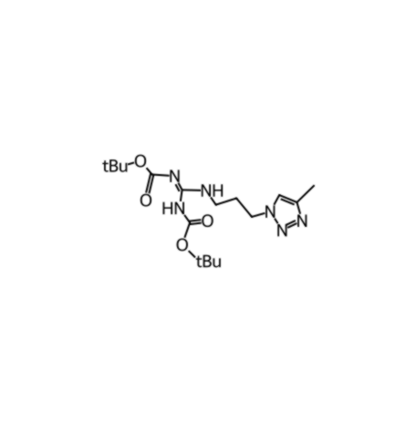 Cc1cn(CCCN/C(=N/C(=O)OC(C)(C)C)NC(=O)OC(C)(C)C)nn1